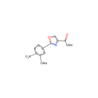 COC(=O)c1coc(-c2ccc([N+](=O)[O-])c(OC)c2)n1